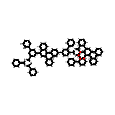 c1ccc(-c2cc(-c3nc(-c4ccccc4)nc(-c4ccccc4)n3)cc(-c3cc4c5ccccc5c5cc(-c6ccc(-c7nc(-c8ccccc8-c8ccccc8)nc(-c8ccccc8-c8cc9c%10ccccc%10c%10ccccc%10c9c9ccccc89)n7)c(-c7ccccc7)c6)ccc5c4c4ccccc34)c2)cc1